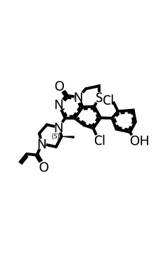 C=CC(=O)N1CCN(c2nc(=O)n3c4c(c(-c5cc(O)ccc5Cl)c(Cl)cc24)SCC3)[C@@H](C)C1